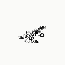 CCC(C)[C@@H](NC(=O)[C@H](CC(=O)OC(C)(C)C)NC(=O)[C@H](C)NC(=O)[C@H](Cc1ccccc1)NC(=O)[C@H](C)NO)C(=O)OC(C)(C)C